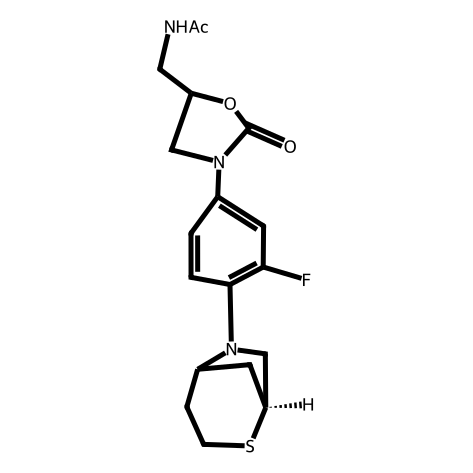 CC(=O)NCC1CN(c2ccc(N3C[C@@H]4CC3CCS4)c(F)c2)C(=O)O1